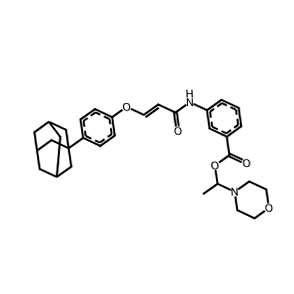 CC(OC(=O)c1cccc(NC(=O)C=COc2ccc(C34CC5CC(CC(C5)C3)C4)cc2)c1)N1CCOCC1